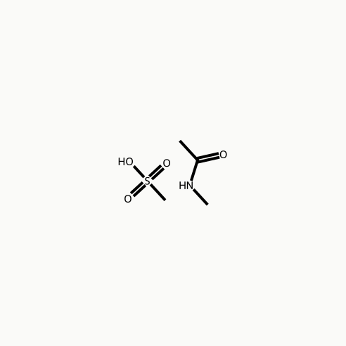 CNC(C)=O.CS(=O)(=O)O